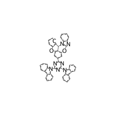 c1ccc2c(c1)Oc1cc(-c3nc(-n4c5ccccc5c5ccccc54)nc(-n4c5ccccc5c5ccccc54)n3)cc3c1C2n1c(nc2ccccc21)O3